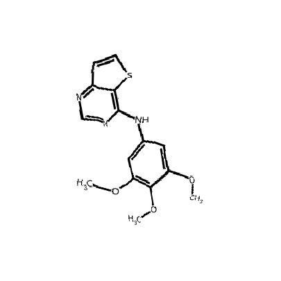 COc1cc(Nc2ncnc3ccsc23)cc(OC)c1OC